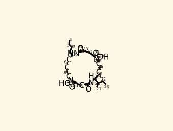 CCCCC1CCCCCN(O)C(=O)CCC(=O)NC(C(C)CC)CCCCN(O)C(=O)CCC(=O)N1